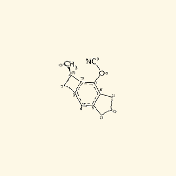 C[C@@H]1Cc2cc3c(c(OC#N)c21)CCC3